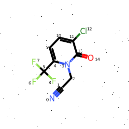 N#CCn1c(C(F)(F)F)ccc(Cl)c1=O